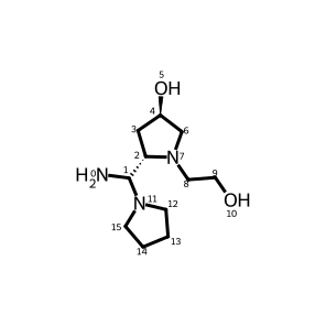 NC([C@@H]1C[C@@H](O)CN1CCO)N1CCCC1